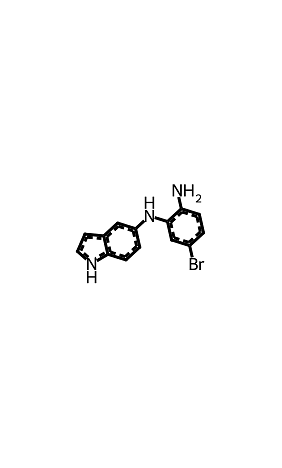 Nc1ccc(Br)cc1Nc1ccc2[nH]ccc2c1